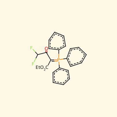 CCOC(=O)C(C(=O)C(F)F)=P(c1ccccc1)(c1ccccc1)c1ccccc1